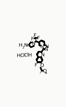 CO[C@H](C)COc1cc2nc(-c3nnc4ccc([C@@H](N5CC[C@H](N)C5)C(F)(F)F)cn34)ccc2cc1F.Cl.Cl